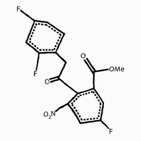 COC(=O)c1cc(F)cc([N+](=O)[O-])c1C(=O)Cc1ccc(F)cc1F